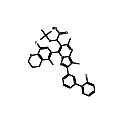 Cc1nc2c(C)c(-c3cccc(-c4ccccc4F)c3)nn2c(-c2cc(F)c3c(c2C)CCCO3)c1C(OC(C)(C)C)C(=O)O